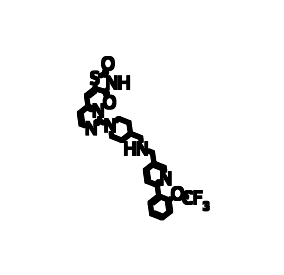 O=C1NC(=O)/C(=C\c2ccnc(N3CCC(CNCc4ccc(-c5ccccc5OC(F)(F)F)nc4)CC3)n2)S1